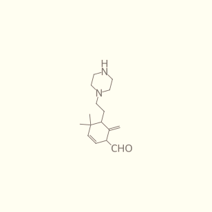 C=C1C(C=O)C=CC(C)(C)C1CCN1CCNCC1